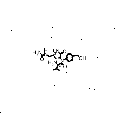 CC(C)[C@H](N)C(=O)N(c1ccc(CO)cc1)[C@@H](CCCNC(N)=O)C(N)=O